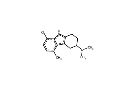 Cc1ccc(Cl)c2[nH]c3c(c12)CC(N(C)C)CC3